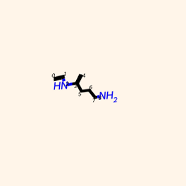 C=CNC(=C)CCCN